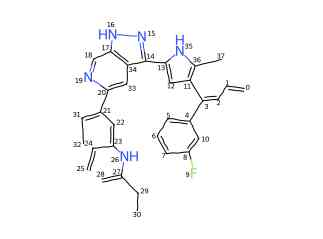 C=C/C=C(/c1cccc(F)c1)c1cc(-c2n[nH]c3cnc(C(/C=C(\C=C)NC(=C)CC)=C/C)cc23)[nH]c1C